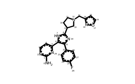 Nc1nccc(-c2[nH]c(C3CCN(Cc4ccon4)C3)nc2-c2ccc(F)cc2)n1